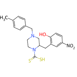 Cc1ccc(CN2CCN(C(=S)S)C(Cc3cc([N+](=O)[O-])ccc3O)C2)cc1